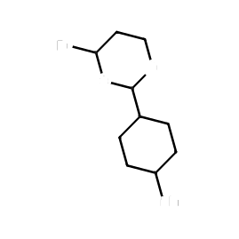 CCCC1CCC(C2OCCC(CC)O2)CC1